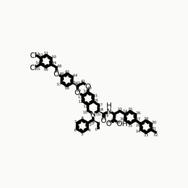 CC[C@@H](c1ccccc1)N1Cc2cc3c(cc2C[C@H]1C(=O)NC(Cc1ccc(-c2ccc(C)cc2)cc1)C(=O)O)OC[C@H](c1ccc(OCc2ccc(Cl)c(Cl)c2)cc1)O3